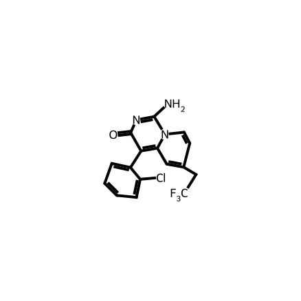 Nc1nc(=O)c(-c2ccccc2Cl)c2cc(CC(F)(F)F)ccn12